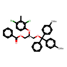 COc1ccc(C(OC[C@@H](COC(=O)c2ccccc2)Oc2ccc(Br)c(C)c2Cl)(c2ccccc2)c2ccc(OC)cc2)cc1